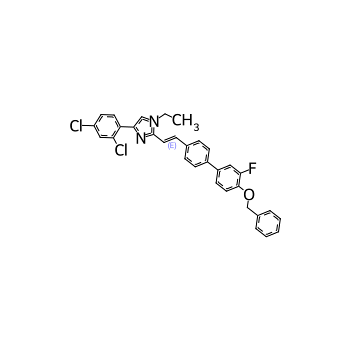 CCn1cc(-c2ccc(Cl)cc2Cl)nc1/C=C/c1ccc(-c2ccc(OCc3ccccc3)c(F)c2)cc1